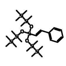 C[Si](C)(C)[Si](C)(C)O[Si](C=Cc1ccccc1)(O[Si](C)(C)[Si](C)(C)C)O[Si](C)(C)[Si](C)(C)C